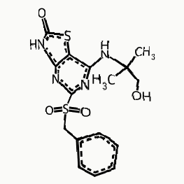 CC(C)(CO)Nc1nc(S(=O)(=O)Cc2ccccc2)nc2[nH]c(=O)sc12